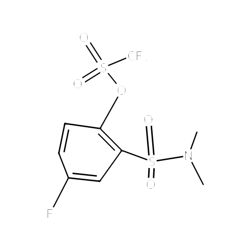 CN(C)S(=O)(=O)c1cc(F)ccc1OS(=O)(=O)C(F)(F)F